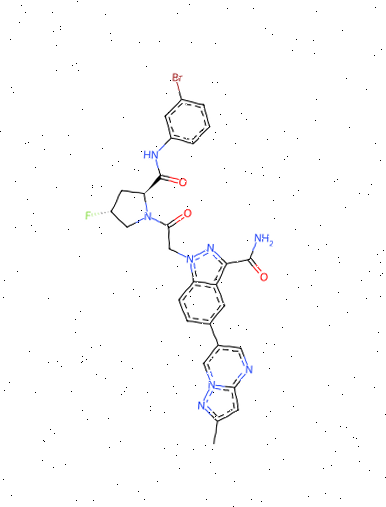 Cc1cc2ncc(-c3ccc4c(c3)c(C(N)=O)nn4CC(=O)N3C[C@H](F)C[C@H]3C(=O)Nc3cccc(Br)c3)cn2n1